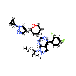 CC(C)n1ncc2c(-c3ccc(F)cc3F)nc([C@H]3CCO[C@@H](c4cnn(C5CC5)c4)C3)nc21